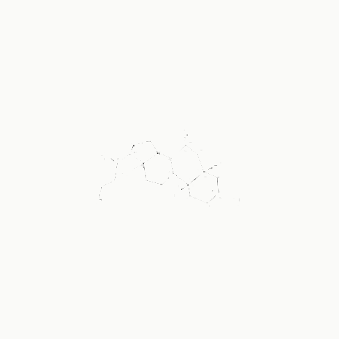 C[C@H](CCO)[C@H]1CCC2C3C(CCC21C)[C@@]1(C)CC[C@@H](O)C[C@H]1C[C@@H]3O